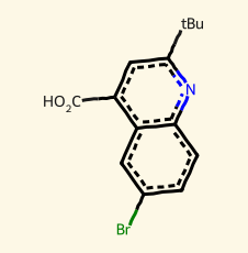 CC(C)(C)c1cc(C(=O)O)c2cc(Br)ccc2n1